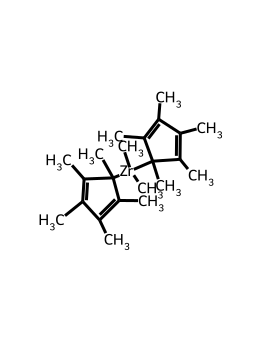 CC1=C(C)[C](C)([Zr]([CH3])([CH3])[C]2(C)C(C)=C(C)C(C)=C2C)C(C)=C1C